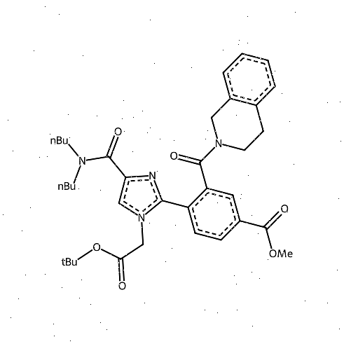 CCCCN(CCCC)C(=O)c1cn(CC(=O)OC(C)(C)C)c(-c2ccc(C(=O)OC)cc2C(=O)N2CCc3ccccc3C2)n1